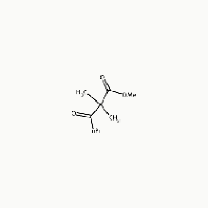 CCCC(=O)C(C)(C)C(=O)OC